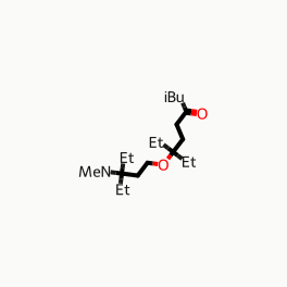 CCC(C)C(=O)CCC(CC)(CC)OCCC(CC)(CC)NC